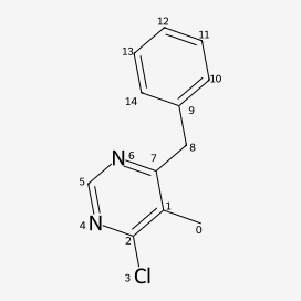 Cc1c(Cl)ncnc1Cc1ccccc1